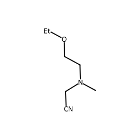 CCOCCN(C)CC#N